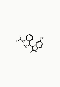 COC(c1ccccc1OC(F)F)c1c(C)nc2ccc(Br)cn12